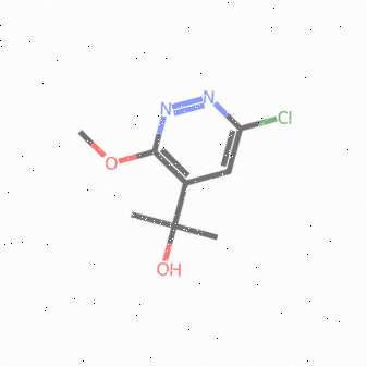 COc1nnc(Cl)cc1C(C)(C)O